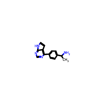 CC(N)c1ccc(-c2ncnc3[nH]ccc23)cc1